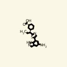 C=C[C@H](c1ncc(-c2cc(N)cc3cn[nH]c23)s1)C1CCC[C@@H](C(=O)O)C1